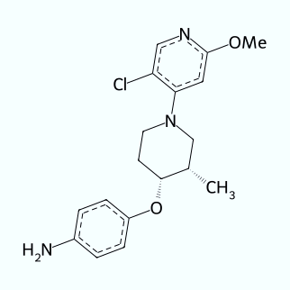 COc1cc(N2CC[C@@H](Oc3ccc(N)cc3)[C@@H](C)C2)c(Cl)cn1